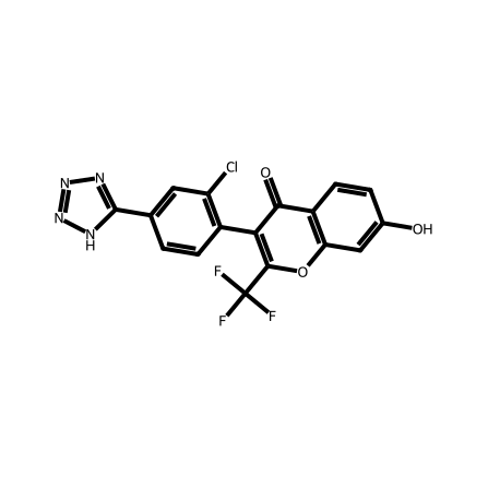 O=c1c(-c2ccc(-c3nnn[nH]3)cc2Cl)c(C(F)(F)F)oc2cc(O)ccc12